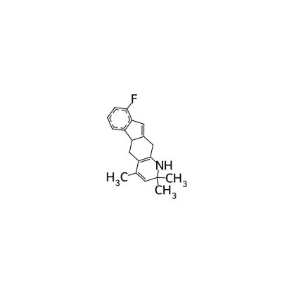 CC1=CC(C)(C)NC2=C1CC1C(=Cc3c(F)cccc31)C2